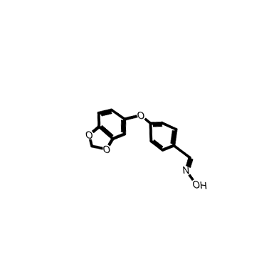 ON=Cc1ccc(Oc2ccc3c(c2)OCO3)cc1